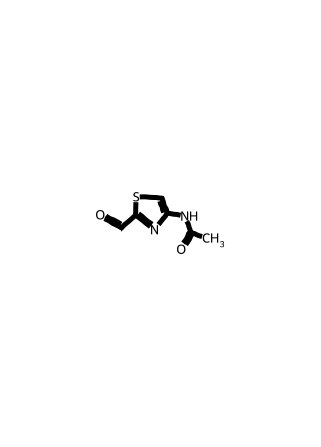 CC(=O)Nc1csc([C]=O)n1